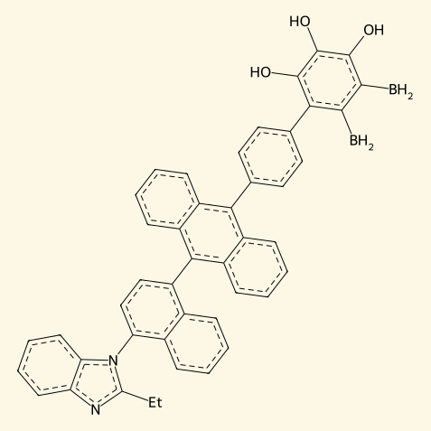 Bc1c(B)c(-c2ccc(-c3c4ccccc4c(-c4ccc(-n5c(CC)nc6ccccc65)c5ccccc45)c4ccccc34)cc2)c(O)c(O)c1O